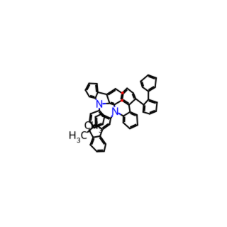 CC1(C)c2ccccc2-c2cc(N(c3ccccc3-c3ccccc3-c3ccccc3-c3ccccc3)c3cccc4c5ccccc5n(-c5ccccc5)c34)ccc21